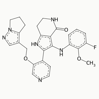 COc1c(F)cccc1Nc1c(-c2ccncc2OCc2cnn3c2CCC3)[nH]c2c1C(=O)NCC2